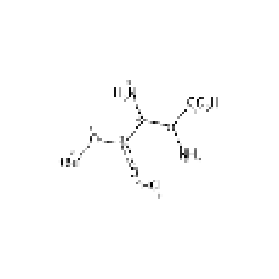 CC(C)(C)OC(=O)C(N)C(N)C(=O)O.Cl